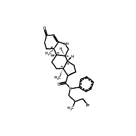 CC(CBr)CN(C(=O)C1CC[C@H]2[C@@H]3CNC4=CC(=O)CC[C@]4(C)[C@@H]3CC[C@]12C)c1ccccc1